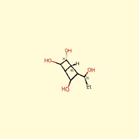 CC[C@H](O)C1C(O)C2C(O)[C@H](O)[C@@H]21